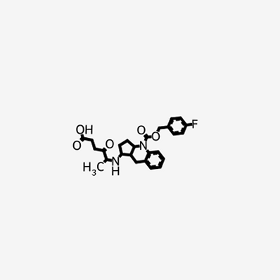 CC(NC1CCC2C1Cc1ccccc1N2C(=O)OCc1ccc(F)cc1)C(=O)CCC(=O)O